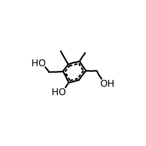 Cc1c(CO)cc(O)c(CO)c1C